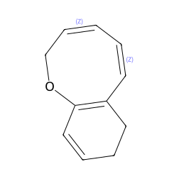 C1=CC2=C(/C=C\C=C/CO2)CC1